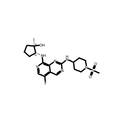 C[C@@]1(O)CCC[C@H]1Nc1ncc(F)c2cnc(NC3CCN(S(C)(=O)=O)CC3)nc12